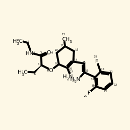 CCNC(=O)[C@H](CC)OC1CC(C)CC(/C=C(\N)c2c(F)cccc2F)=C1N